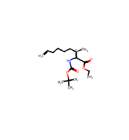 C=CCCCC[C@@H](C)C(NC(=O)OC(C)(C)C)C(=O)OCC